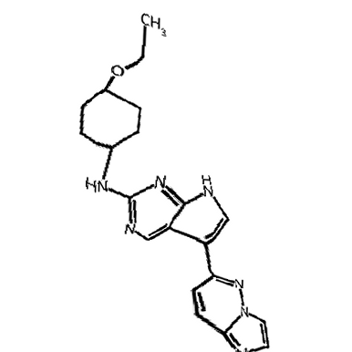 CCOC1CCC(Nc2ncc3c(-c4ccc5nccn5n4)c[nH]c3n2)CC1